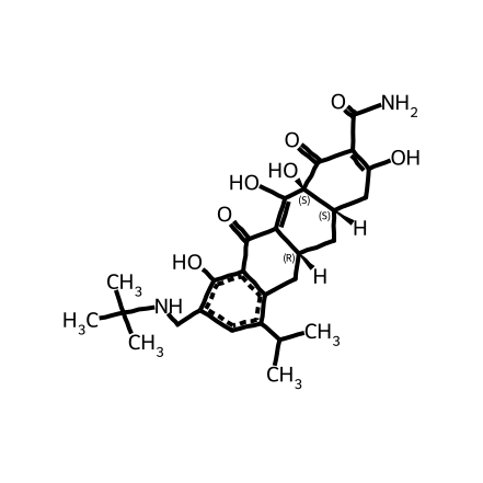 CC(C)c1cc(CNC(C)(C)C)c(O)c2c1C[C@H]1C[C@H]3CC(O)=C(C(N)=O)C(=O)[C@@]3(O)C(O)=C1C2=O